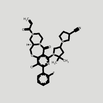 C=CC(=O)N1CCN2C(=O)c3c(N4CC(N5CCC(C#N)C5)CC4(C)C)nc(-c4ccccc4F)c(Cl)c3OC[C@H]2C1